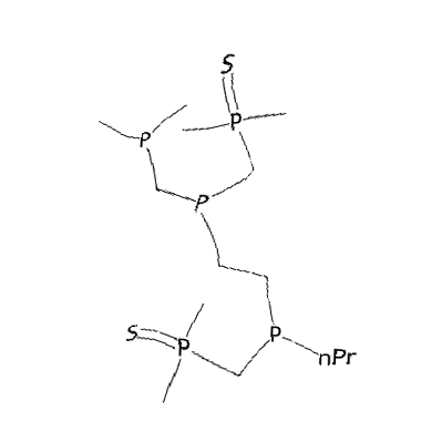 CCCP(CCP(CP(C)C)CP(C)(C)=S)CP(C)(C)=S